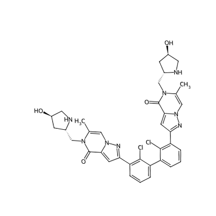 Cc1cn2nc(-c3cccc(-c4cccc(-c5cc6c(=O)n(C[C@@H]7C[C@@H](O)CN7)c(C)cn6n5)c4Cl)c3Cl)cc2c(=O)n1C[C@@H]1C[C@@H](O)CN1